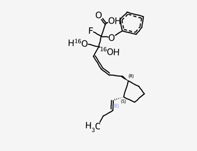 CC/C=C/[C@H]1CCC[C@@H]1CC=C=CC([16OH])([16OH])C(F)(Oc1ccccc1)C(=O)O